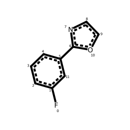 Fc1cccc(-c2n[c]co2)c1